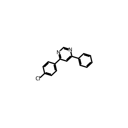 Clc1ccc(-c2cc(-c3ccccc3)ncn2)cc1